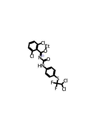 CCO/C(=N\C(=O)Nc1ccc(SC(F)(F)C(Cl)Cl)cc1)c1c(Cl)cccc1Cl